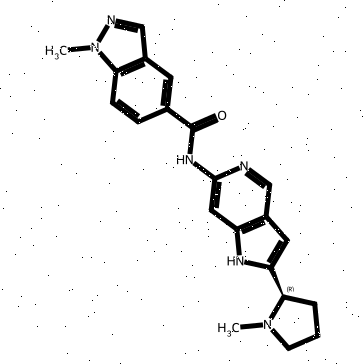 CN1CCC[C@@H]1c1cc2cnc(NC(=O)c3ccc4c(cnn4C)c3)cc2[nH]1